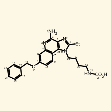 CCc1nc2c(N)nc3cc(OCc4ccccc4)ccc3c2n1CCCCNC(=O)O